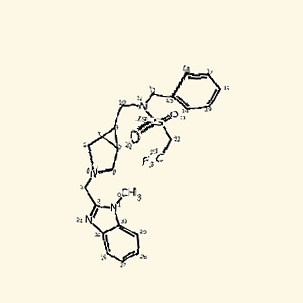 Cn1c(CN2CC3C(C2)C3CN(Cc2ccccc2)S(=O)(=O)CC(F)(F)F)nc2ccccc21